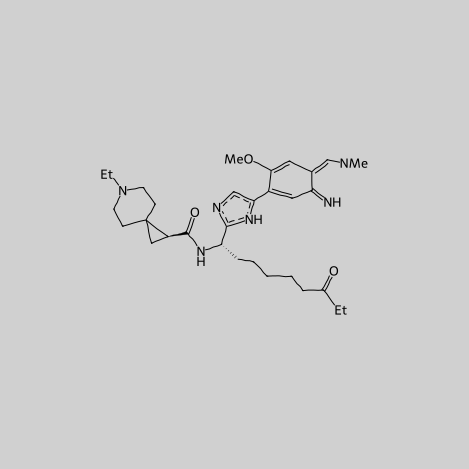 CCC(=O)CCCCC[C@H](NC(=O)[C@H]1CC12CCN(CC)CC2)c1ncc(C2=CC(=N)/C(=C\NC)C=C2OC)[nH]1